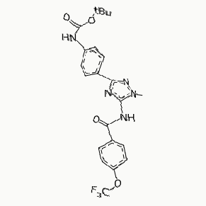 Cn1nc(-c2ccc(NC(=O)OC(C)(C)C)cc2)nc1NC(=O)c1ccc(OC(F)(F)F)cc1